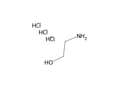 Cl.Cl.Cl.NCCO